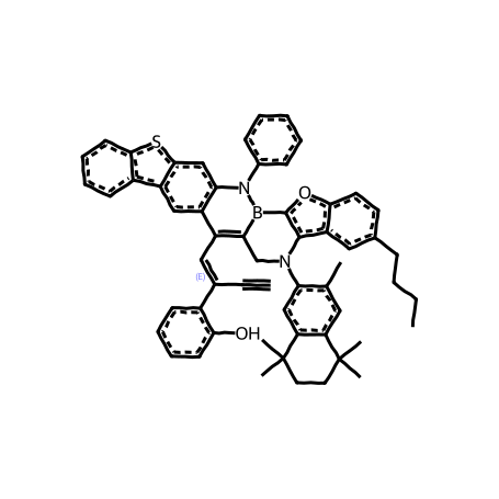 C#C/C(=C\C1=C2CN(c3cc4c(cc3C)C(C)(C)CCC4(C)C)c3c(oc4ccc(CCCC)cc34)B2N(c2ccccc2)c2cc3sc4ccccc4c3cc21)c1ccccc1O